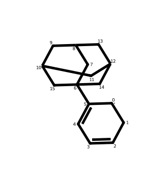 [CH]1CC=CC=C1C12CC3CC(CC(C3)C1)C2